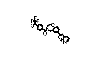 O=C(c1ccc(C(=O)C(F)(F)F)cc1)N1CCOc2ccc(-c3cnc4ncccc4c3)cc2C1